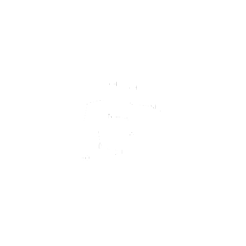 CC1CCC(B(O)O)N1C(=O)[C@H](C)N